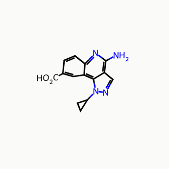 Nc1nc2ccc(C(=O)O)cc2c2c1cnn2C1CC1